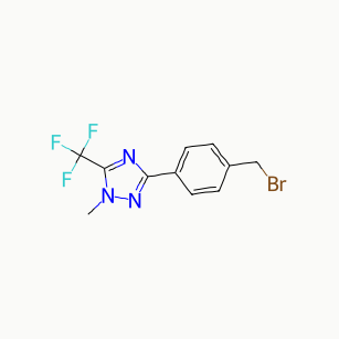 Cn1nc(-c2ccc(CBr)cc2)nc1C(F)(F)F